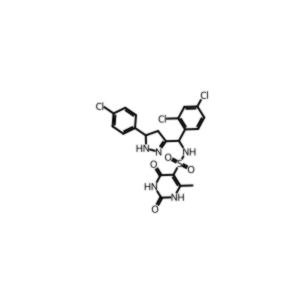 Cc1[nH]c(=O)[nH]c(=O)c1S(=O)(=O)NC(C1=NNC(c2ccc(Cl)cc2)C1)c1ccc(Cl)cc1Cl